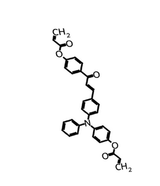 C=CC(=O)Oc1ccc(C(=O)C=Cc2ccc(N(c3ccccc3)c3ccc(OC(=O)C=C)cc3)cc2)cc1